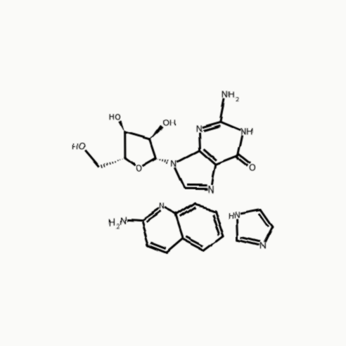 Nc1ccc2ccccc2n1.Nc1nc2c(ncn2[C@@H]2O[C@H](CO)[C@@H](O)[C@H]2O)c(=O)[nH]1.c1c[nH]cn1